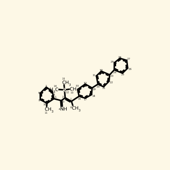 C/C(=C(\C(=N)c1ccccc1C)S(C)(C)C)c1ccc(-c2ccc(-c3ccccc3)cc2)cc1